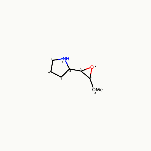 COC1OC1C1CCCN1